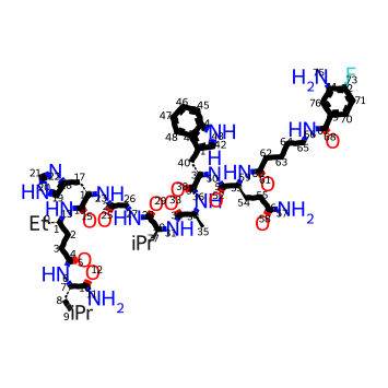 CC[C@@H](CCC(=O)N[C@@H](CC(C)C)C(N)=O)NC(=O)[C@H](Cc1c[nH]cn1)NC(=O)CNC(=O)[C@@H](NC(=O)[C@H](C)NC(=O)[C@H](Cc1c[nH]c2ccccc12)NC(=O)[C@H](CCC(N)=O)NC(=O)CCCCNC(=O)c1ccc(F)c(N)c1)C(C)C